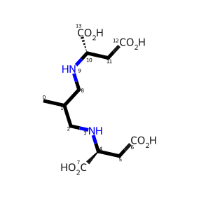 CC(CN[C@@H](CC(=O)O)C(=O)O)CN[C@@H](CC(=O)O)C(=O)O